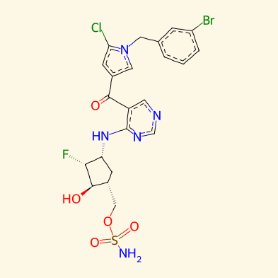 NS(=O)(=O)OC[C@H]1C[C@@H](Nc2ncncc2C(=O)c2cc(Cl)n(Cc3cccc(Br)c3)c2)[C@@H](F)[C@@H]1O